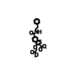 COC(=O)COc1c(C(=O)OC)sc2cc(C(=O)NCCc3ccccc3)ccc12